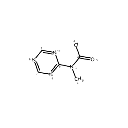 CN(C(=O)Cl)c1ncncn1